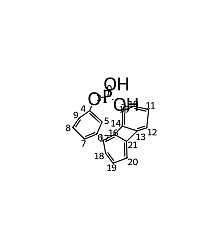 OP(O)Oc1ccccc1.c1ccc2c(c1)-c1ccccc1-2